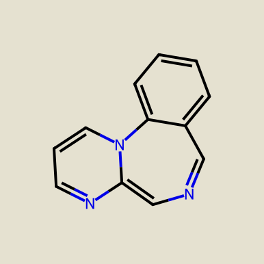 C1=CN2C(=CN=Cc3ccccc32)N=C1